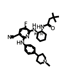 CN1CCC(c2ccc(Nc3nc(N[C@@H]4CCCC[C@@H]4NC(=O)CC(C)(C)C)c(F)cc3C#N)cc2)CC1